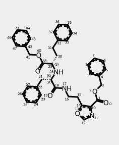 O=C(OCc1ccccc1)c1ncoc1CCNC(=O)[C@H](Cc1ccccc1)N[C@@H](CCc1ccccc1)C(=O)OCc1ccccc1